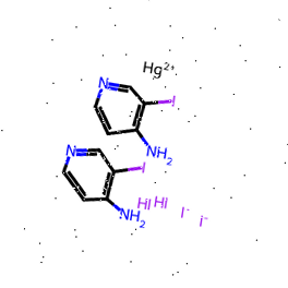 I.I.Nc1ccncc1I.Nc1ccncc1I.[Hg+2].[I-].[I-]